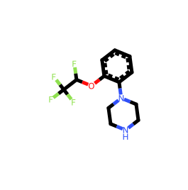 FC(Oc1ccccc1N1CCNCC1)C(F)(F)F